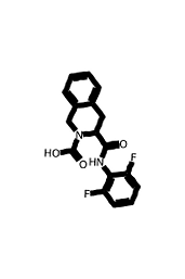 O=C(Nc1c(F)cccc1F)C1Cc2ccccc2CN1C(=O)O